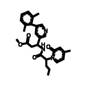 CCCC(C(=O)NC(CC(=O)OC)c1cncc(-c2c(C)cccc2C)c1)n1ccc(C)cc1=O